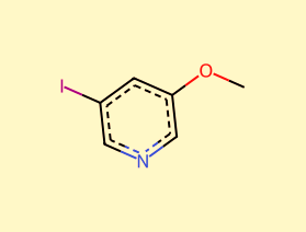 COc1cncc(I)c1